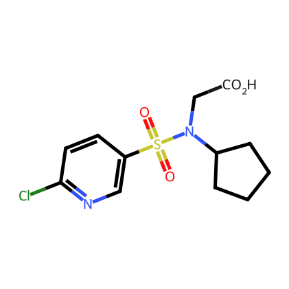 O=C(O)CN(C1CCCC1)S(=O)(=O)c1ccc(Cl)nc1